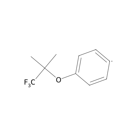 CC(C)(Oc1cc[c]cc1)C(F)(F)F